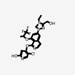 CCN1CN(c2cc(OC(C)C(F)(F)F)c3c(Oc4cc(O)ncc4Cl)nccc3c2)N=C1CO